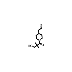 CC(C)(CO)C(=O)N1CCC(CC[O])CC1